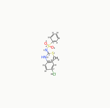 CS/C(=N\S(=O)(=O)c1ccccc1)Nc1ccc(Cl)cc1